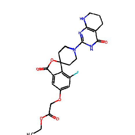 CCOC(=O)COc1cc(F)c2c(c1)C(=O)OC21CCN(c2nc3c(c(=O)[nH]2)CCCN3)CC1